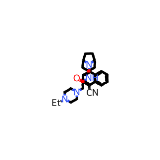 CCN1CCN(CC(=O)NC2CC3CCC(C2)N3c2ccc(C#N)c3ccccc23)CC1